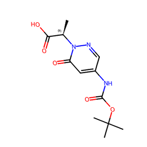 C[C@H](C(=O)O)n1ncc(NC(=O)OC(C)(C)C)cc1=O